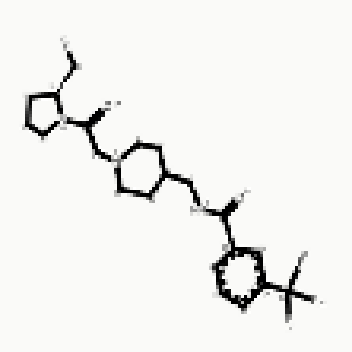 O=C(NCC1CCN(CC(=O)N2CCC[C@H]2CF)CC1)c1cccc(C(F)(F)F)c1